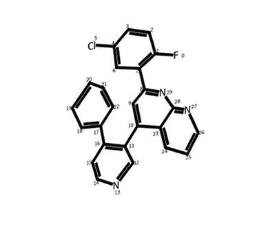 Fc1ccc(Cl)cc1-c1cc(-c2cnccc2-c2ccccc2)c2cccnc2n1